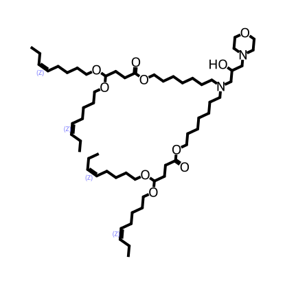 CC/C=C\CCCCOC(CCC(=O)OCCCCCCCN(CCCCCCCOC(=O)CCC(OCCCC/C=C\CC)OCCCC/C=C\CC)CC(O)CN1CCOCC1)OCCCC/C=C\CC